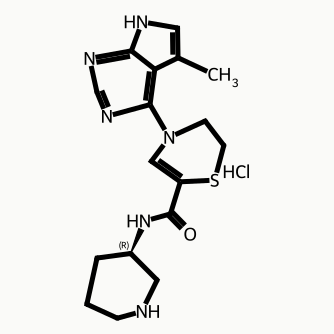 Cc1c[nH]c2ncnc(N3C=C(C(=O)N[C@@H]4CCCNC4)SCC3)c12.Cl